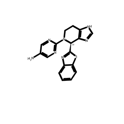 Nc1cnc(N2CCc3[nH]cnc3[C@H]2c2nc3ccccc3s2)nc1